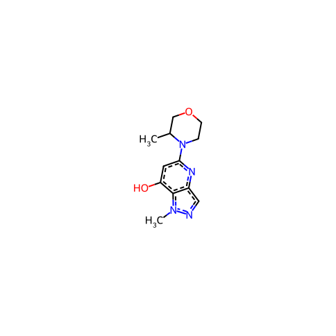 CC1COCCN1c1cc(O)c2c(cnn2C)n1